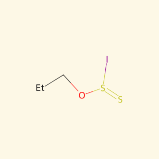 CCCOS(=S)I